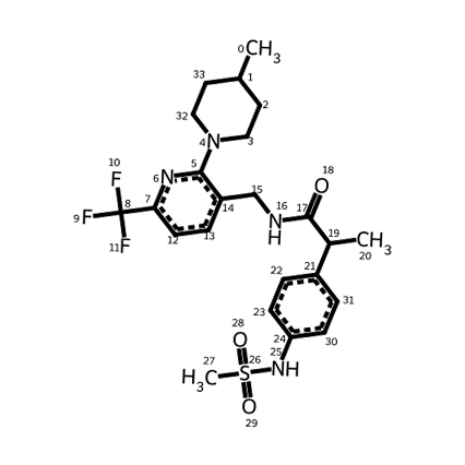 CC1CCN(c2nc(C(F)(F)F)ccc2CNC(=O)C(C)c2ccc(NS(C)(=O)=O)cc2)CC1